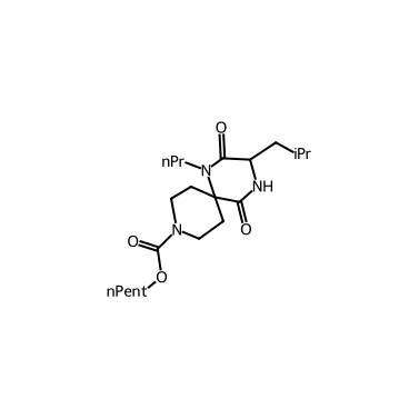 CCCCCOC(=O)N1CCC2(CC1)C(=O)NC(CC(C)C)C(=O)N2CCC